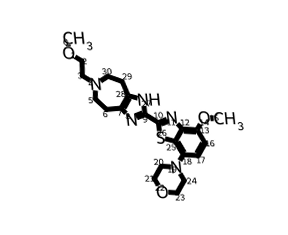 COCCN1CCc2nc(-c3nc4c(OC)ccc(N5CCOCC5)c4s3)[nH]c2CC1